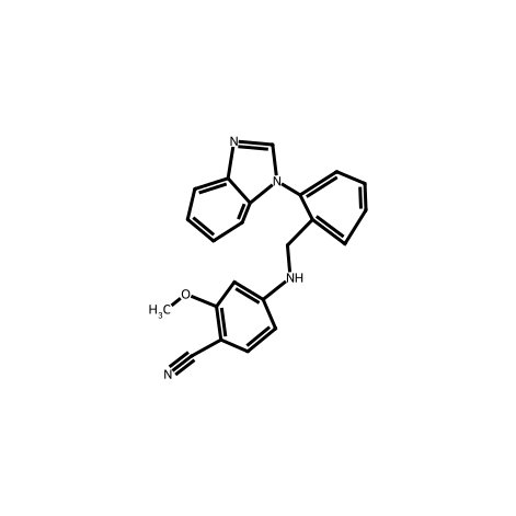 COc1cc(NCc2ccccc2-n2cnc3ccccc32)ccc1C#N